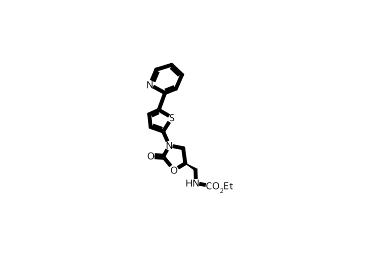 CCOC(=O)NC[C@@H]1CN(c2ccc(-c3ccccn3)s2)C(=O)O1